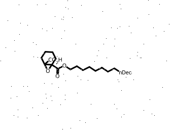 CCCCCCCCCCCCCCCCCCOC(=O)C12CCCCC1(C(=O)O)O2